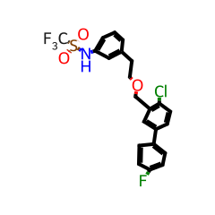 O=S(=O)(Nc1cccc(CCOCc2cc(-c3ccc(F)cc3)ccc2Cl)c1)C(F)(F)F